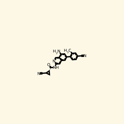 Cc1cc(C#N)ccc1-c1cc(N)c2cnc(NC(=O)[C@@H]3CC3C#N)cc2c1